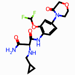 NC(=O)[C@H](NCC1CC1)C(=O)Nc1ccc(N2CCOCC2=O)cc1OC(F)F